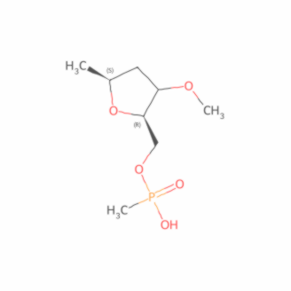 COC1C[C@H](C)O[C@@H]1COP(C)(=O)O